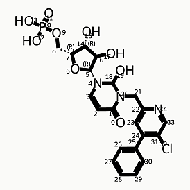 O=C1C=CN([C@@H]2O[C@H](COP(=O)(O)O)[C@H](O)C2O)C(O)N1Cc1cc(-c2ccccc2)c(Cl)cn1